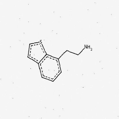 NCCc1cccc2ccsc12